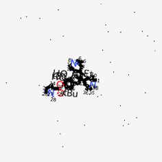 CCC(C1CC(C)(C)N(C)C(C)(C)C1)C(Cc1cc(C(C)(C)C)c(OC(=O)C2CCCN2C)c(C(C)(C)C)c1)(C1CC(C)(C)N(C)C(C)(C)C1)C(C(=O)O)C(=O)O